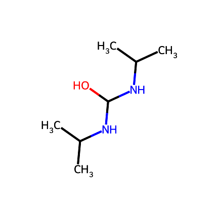 CC(C)NC(O)NC(C)C